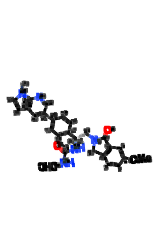 COc1ccc2c(c1)C(=O)N(C[C@H](NC(=O)NC=O)c1ccc(-c3cnc4c(ccn4C)c3)cc1)C2